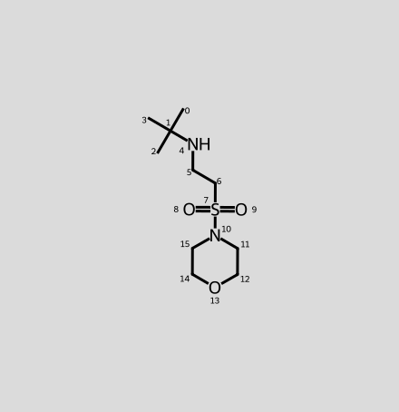 CC(C)(C)NCCS(=O)(=O)N1CCOCC1